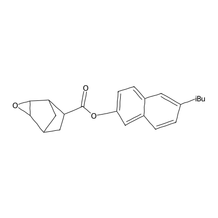 CCC(C)c1ccc2cc(OC(=O)C3CC4CC3C3OC43)ccc2c1